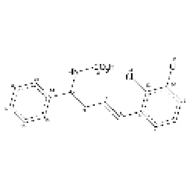 O=C(O)NC(CC=Cc1cccc(Cl)c1Cl)c1ccccc1